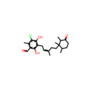 CC(=CCc1c(O)c(Cl)c(C)c(C=O)c1O)CCC1(C)C(C)CCC(=O)C1C